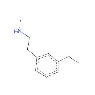 CCc1cccc(CCNC)c1